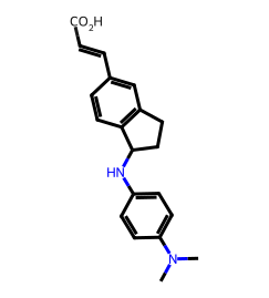 CN(C)c1ccc(NC2CCc3cc(/C=C/C(=O)O)ccc32)cc1